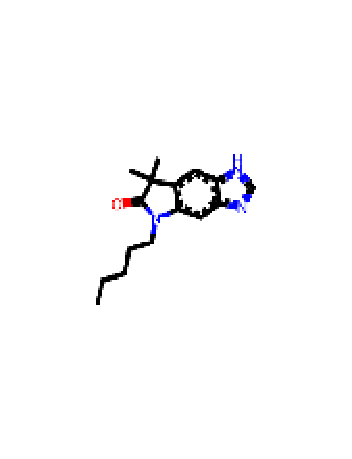 CCCCCN1C(=O)C(C)(C)c2cc3[nH]cnc3cc21